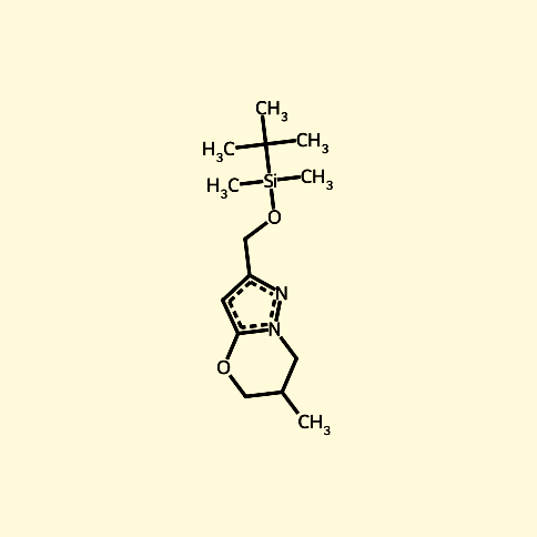 CC1COc2cc(CO[Si](C)(C)C(C)(C)C)nn2C1